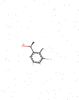 Cc1c(F)cccc1[C@H](C)O